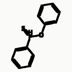 S=[PH](Oc1ccccc1)c1ccccc1